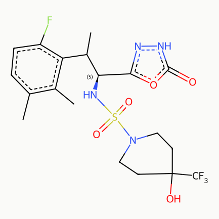 Cc1ccc(F)c(C(C)[C@H](NS(=O)(=O)N2CCC(O)(C(F)(F)F)CC2)c2n[nH]c(=O)o2)c1C